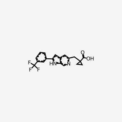 O=C(O)C1(Cc2cc3cc(-c4cccc(C(F)(F)F)c4)[nH]c3cn2)CC1